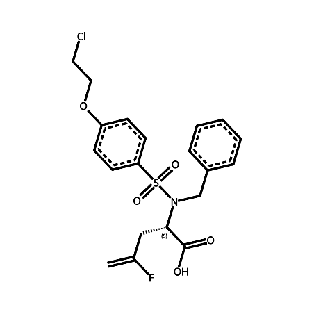 C=C(F)C[C@@H](C(=O)O)N(Cc1ccccc1)S(=O)(=O)c1ccc(OCCCl)cc1